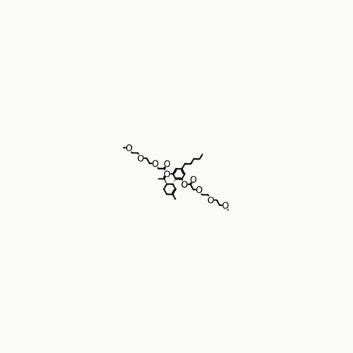 C=C(C)[C@@H]1CCC(C)=C[C@H]1c1c(OC(=O)COCCOCCOC)cc(CCCCC)cc1OC(=O)COCCOCCOC